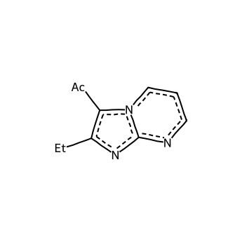 CCc1nc2ncccn2c1C(C)=O